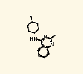 Cc1nc(N[C@H]2CC[C@H](C)CC2)c2ccccc2n1